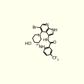 Cl.N[C@@H]1CCCN(c2c(Br)cnc3[nH]cc(NC(=O)c4cccc(C(F)(F)F)c4)c23)C1